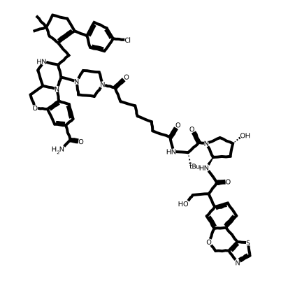 CC1(C)CCC(c2ccc(Cl)cc2)=C(CC2NCC3COc4cc(C(N)=O)ccc4N3C2N2CCN(C(=O)CCCCCC(=O)N[C@H](C(=O)N3C[C@H](O)C[C@H]3NC(=O)C(CO)c3ccc4c(c3)OCc3ncsc3-4)C(C)(C)C)CC2)C1